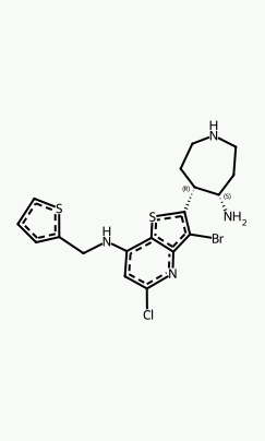 N[C@H]1CCNCC[C@H]1c1sc2c(NCc3cccs3)cc(Cl)nc2c1Br